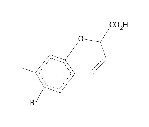 Cc1cc2c(cc1Br)C=CC(C(=O)O)O2